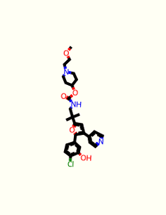 COCCN1CCC(OC(=O)NCC(C)(C)c2cc(-c3ccncc3)c(-c3ccc(Cl)c(O)c3)o2)CC1